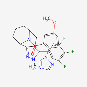 COc1ccc(-n2cncn2)c(C(=O)N2C3CCCC2c2nn(C)c(-c4cc(F)c(F)c(F)c4)c2C3)c1